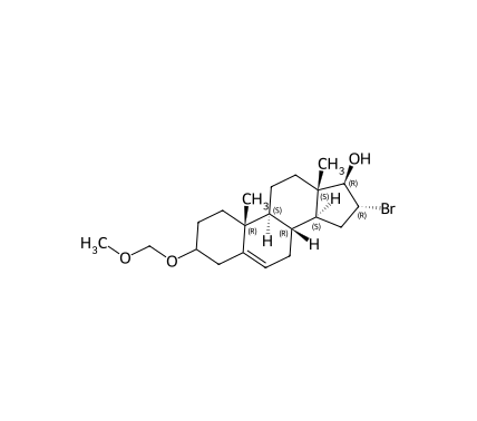 COCOC1CC[C@@]2(C)C(=CC[C@H]3[C@@H]4C[C@@H](Br)[C@H](O)[C@@]4(C)CC[C@@H]32)C1